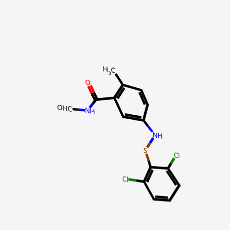 Cc1ccc(NSc2c(Cl)cccc2Cl)cc1C(=O)NC=O